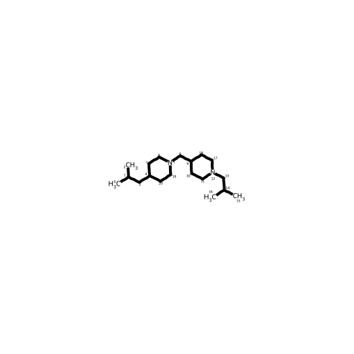 CC(C)CC1CCN(CC2CCN(CC(C)C)CC2)CC1